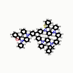 CC1(C)C2=C(B3c4ccccc4N(c4ccccc4)c4cccc(c43)N2c2cccc(-c3cccc(N4c5ccccc5B5c6c4cccc6N(c4ccc(-c6ccc(N7c8ccccc8B8c9c7cccc9N(c7ccccc7)c7oc9ccccc9c78)cc6)cc4)c4sc6ccccc6c45)c3)c2)c2ccccc21